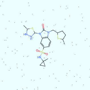 CC1CCC(Cn2c(=O)n(C3NNC(C)S3)c3cc(S(=O)(=O)NC4(C)CC4)ccc32)S1